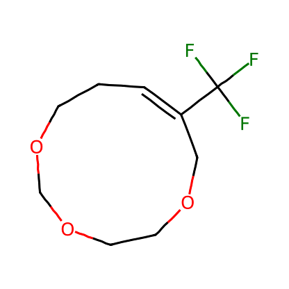 FC(F)(F)/C1=C/CCOCOCCOC1